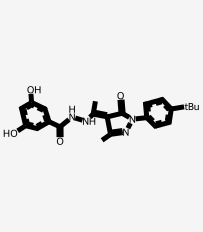 CC1=NN(c2ccc(C(C)(C)C)cc2)C(=O)C1=C(C)NNC(=O)c1cc(O)cc(O)c1